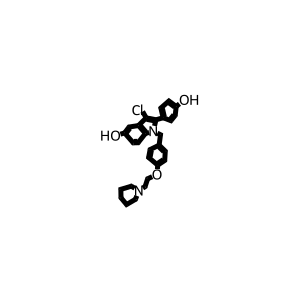 Oc1ccc(-c2c(Cl)c3cc(O)ccc3n2Cc2ccc(OCCN3CCCCC3)cc2)cc1